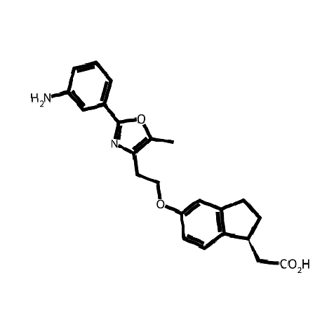 Cc1oc(-c2cccc(N)c2)nc1CCOc1ccc2c(c1)CC[C@H]2CC(=O)O